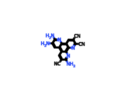 N#Cc1cc2c3cc(N)c(N)nc3c3cc(C#N)c(C#N)nc3c2nc1N